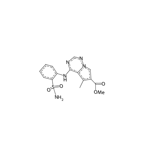 COC(=O)c1cn2ncnc(Nc3ccccc3S(N)(=O)=O)c2c1C